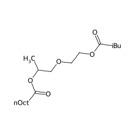 CCCCCCCCC(=O)OC(C)COCCOC(=O)C(C)CC